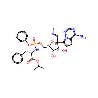 CN=C[C@@]1(c2ccc3c(N)ncnn23)O[C@H](COP(=O)(N[C@@H](Cc2ccccc2)C(=O)OC(C)C)Oc2ccccc2)[C@@H](O)[C@H]1O